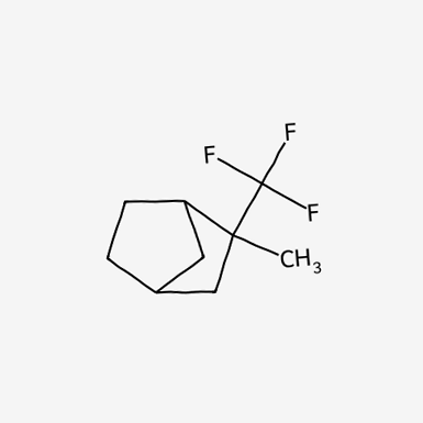 CC1(C(F)(F)F)CC2CCC1C2